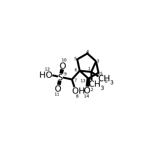 CC1(C)C2CCC1(C(O)S(=O)(=O)O)C(=O)C2